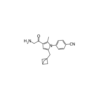 Cc1c(C(=O)CN)cc(CC23CC(C2)C3)n1-c1ccc(C#N)cc1